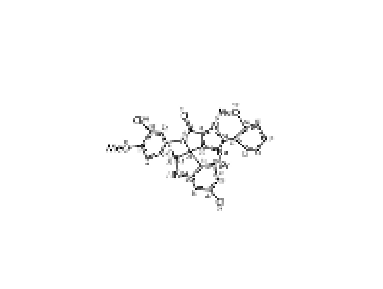 COc1ccc(N2C(=O)c3nc(-c4ccccc4OC)n(C(C)C)c3C23C(=O)Nc2cc(Cl)ccc23)cc1Cl